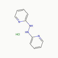 Cl.c1ccc(NNc2ccccn2)nc1